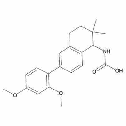 COc1ccc(-c2ccc3c(c2)CCC(C)(C)C3NC(=O)O)c(OC)c1